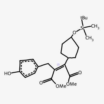 COC(=O)/C(Cc1ccc(O)cc1)=C(\C(=O)OC)C1CCC(O[Si](C)(C)C(C)(C)C)CC1